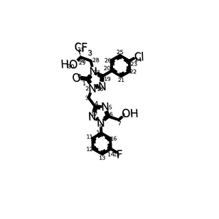 O=c1n(Cc2nc(CO)n(-c3cccc(F)c3)n2)nc(-c2ccc(Cl)cc2)n1C[C@H](O)C(F)(F)F